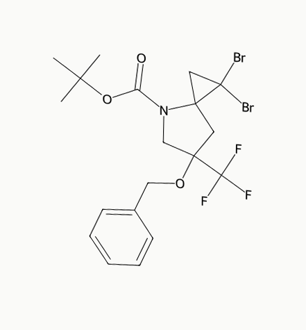 CC(C)(C)OC(=O)N1CC(OCc2ccccc2)(C(F)(F)F)CC12CC2(Br)Br